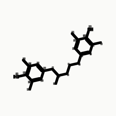 Cc1cc(CCCC(C)Cc2cc(C)c(O)c(C)c2)cc(C)c1O